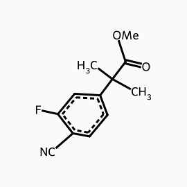 COC(=O)C(C)(C)c1ccc(C#N)c(F)c1